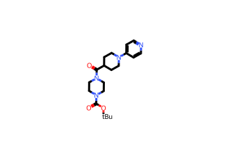 CC(C)(C)OC(=O)N1CCN(C(=O)C2CCN(c3ccncc3)CC2)CC1